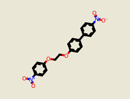 O=[N+]([O-])c1ccc(OCCOc2ccc(-c3ccc([N+](=O)[O-])cc3)cc2)cc1